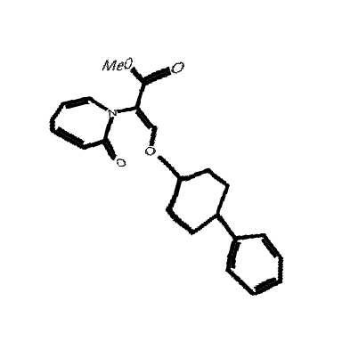 COC(=O)/C(=C/OC1CCC(c2ccccc2)CC1)n1ccccc1=O